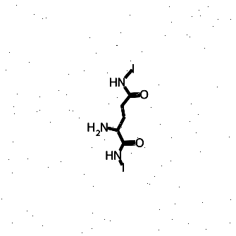 NC(CCC(=O)NI)C(=O)NI